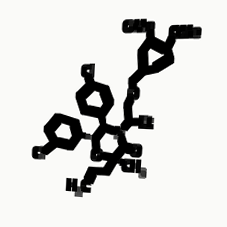 C=CC[C@@]1(C)O[C@H](c2cccc(Cl)c2)[C@@H](c2ccc(Cl)cc2)N(C(CC)COCc2ccc(OC)c(OC)c2)C1=O